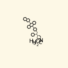 C=NC1=C(C)CC(C(Cc2ccc(-c3c4ccccc4c(-c4ccc5ccccc5c4)c4ccccc34)cc2)c2ccccc2)C=C1